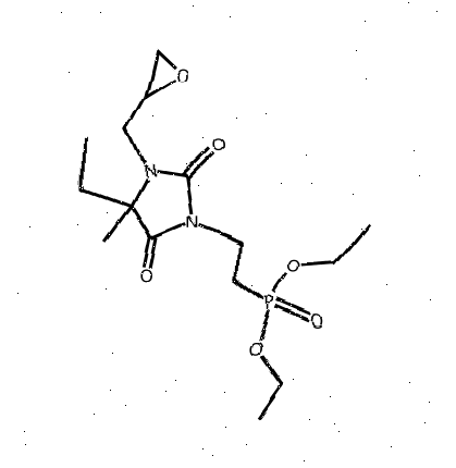 CCOP(=O)(CCN1C(=O)N(CC2CO2)C(C)(CC)C1=O)OCC